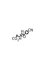 CC(C)(NC(=O)c1ccc(C#N)cc1)C(C(=O)O)C1CC1